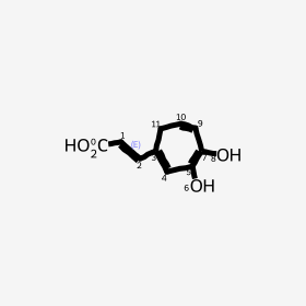 O=C(O)/C=C/C1=CC(O)=C(O)C=CC1